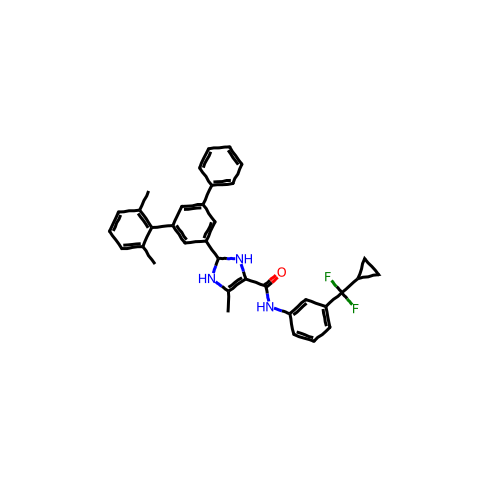 CC1=C(C(=O)Nc2cccc(C(F)(F)C3CC3)c2)NC(c2cc(-c3ccccc3)cc(-c3c(C)cccc3C)c2)N1